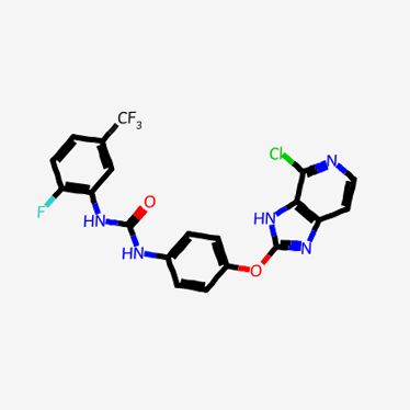 O=C(Nc1ccc(Oc2nc3ccnc(Cl)c3[nH]2)cc1)Nc1cc(C(F)(F)F)ccc1F